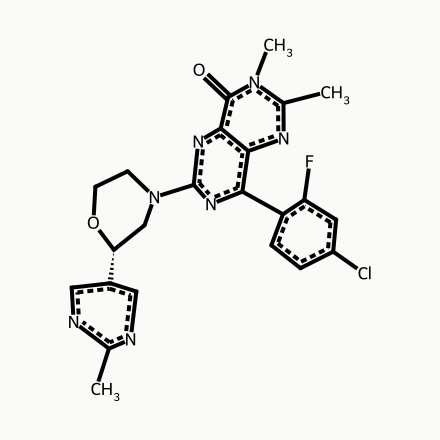 Cc1ncc([C@H]2CN(c3nc(-c4ccc(Cl)cc4F)c4nc(C)n(C)c(=O)c4n3)CCO2)cn1